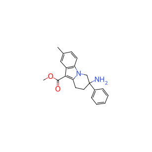 COC(=O)c1c2n(c3ccc(C)cc13)CC(N)(c1ccccc1)CC2